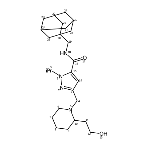 CC(C)n1nc(CN2CCCCC2CCO)cc1C(=O)NCC12CC3CC(CC(C3)C1)C2